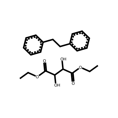 CCOC(=O)C(O)C(O)C(=O)OCC.c1ccc(CCc2ccccc2)cc1